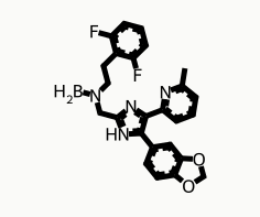 BN(CCc1c(F)cccc1F)Cc1nc(-c2cccc(C)n2)c(-c2ccc3c(c2)OCO3)[nH]1